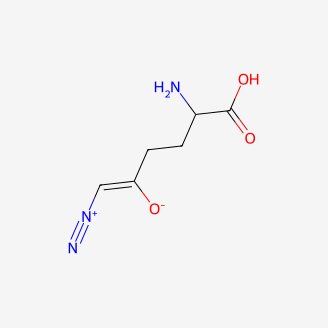 N#[N+]/C=C(\[O-])CCC(N)C(=O)O